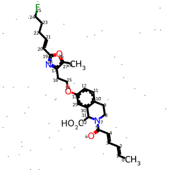 CC=CC=CC(=O)N1CCc2ccc(OCCc3nc(/C=C/CCCF)oc3C)cc2C1C(=O)O